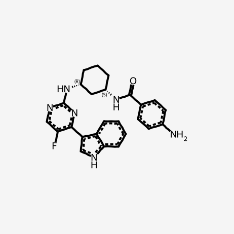 Nc1ccc(C(=O)N[C@H]2CCC[C@@H](Nc3ncc(F)c(-c4c[nH]c5ccccc45)n3)C2)cc1